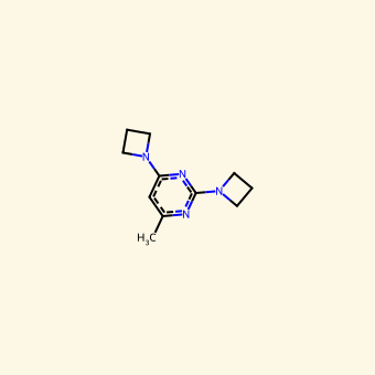 Cc1cc(N2CCC2)nc(N2CCC2)n1